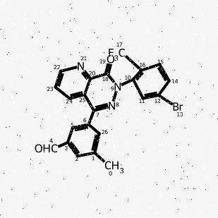 Cc1cc(C=O)cc(-c2nn(-c3cc(Br)ccc3C(F)(F)F)c(=O)c3ncccc23)c1